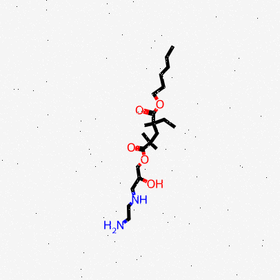 CCCCCCOC(=O)C(C)(CC)CC(C)(C)C(=O)OCC(O)CNCCN